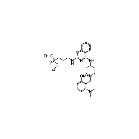 CCOP(=O)(CCCNc1nc(NC2CCN(Cc3c(OC)cccc3N(C)C)CC2)c2ccccc2n1)OCC